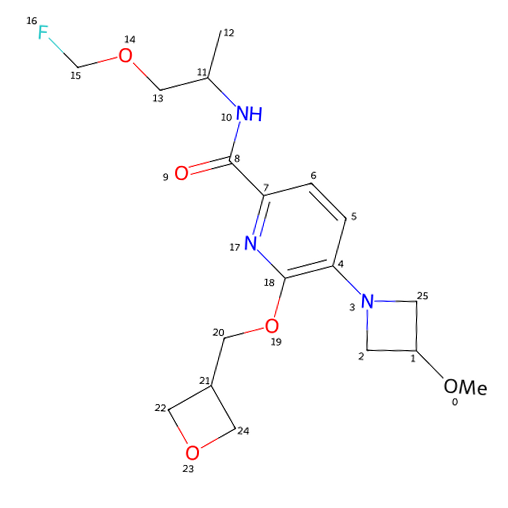 COC1CN(c2ccc(C(=O)NC(C)COCF)nc2OCC2COC2)C1